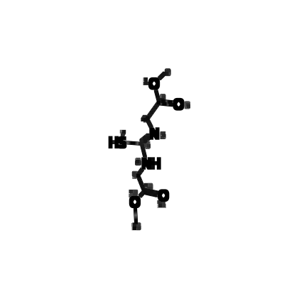 COC(=O)C/N=C(\S)NCC(=O)OC